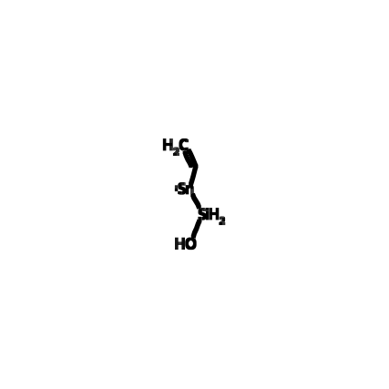 C=[CH][Sn][SiH2]O